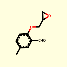 Cc1ccc(OCC2CO2)c(C=O)c1